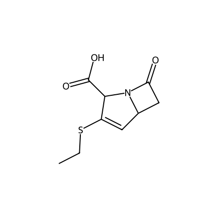 CCSC1=CC2CC(=O)N2C1C(=O)O